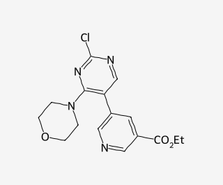 CCOC(=O)c1cncc(-c2cnc(Cl)nc2N2CCOCC2)c1